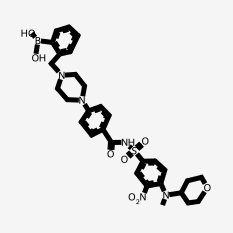 CN(c1ccc(S(=O)(=O)NC(=O)c2ccc(N3CCN(Cc4ccccc4B(O)O)CC3)cc2)cc1[N+](=O)[O-])C1CCOCC1